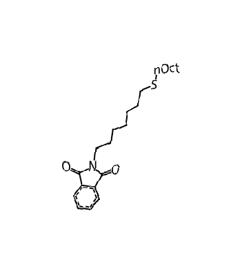 CCCCCCCCSCCCCCCCN1C(=O)c2ccccc2C1=O